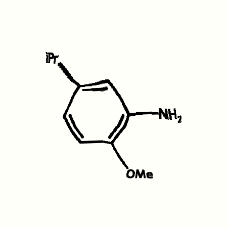 COc1ccc(C(C)C)cc1N